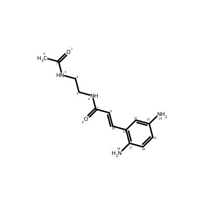 CC(=O)NCCNC(=O)/C=C/c1cc(N)ccc1N